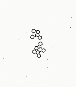 c1ccc(-c2ccccc2-n2c3ccccc3c3ccc(-c4ccc5c(c4)c4ccccc4n5-c4ccccc4-c4cc5ccccc5c5ccccc45)cc32)cc1